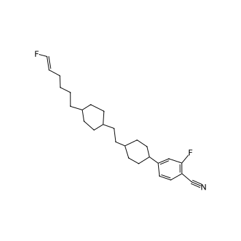 N#Cc1ccc(C2CCC(CCC3CCC(CCCC/C=C/F)CC3)CC2)cc1F